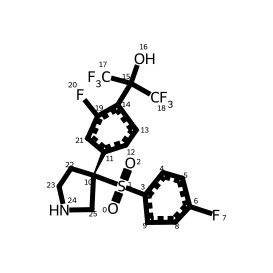 O=S(=O)(c1ccc(F)cc1)[C@@]1(c2ccc(C(O)(C(F)(F)F)C(F)(F)F)c(F)c2)CCNC1